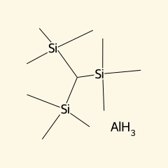 C[Si](C)(C)C([Si](C)(C)C)[Si](C)(C)C.[AlH3]